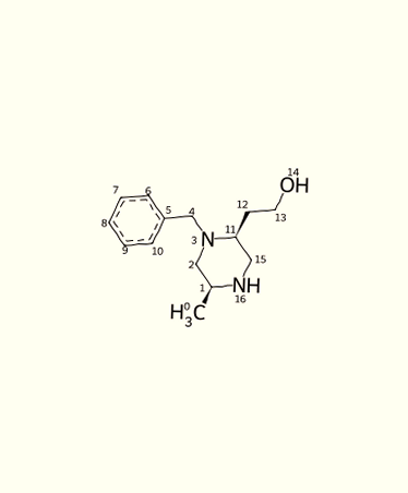 C[C@H]1CN(Cc2ccccc2)[C@@H](CCO)CN1